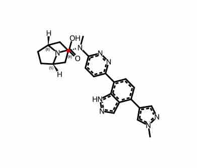 CN(c1ccc(-c2ccc(-c3cnn(C)c3)c3cn[nH]c23)nn1)[C@H]1C[C@H]2CC[C@@H](C1)N2C(=O)O